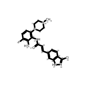 Cc1c(F)ccc(N2CCN(C)CC2)c1NC(=O)/C=C/c1ccc2c(Cl)n[nH]c2c1